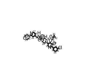 CC1(COc2c(N3CCN(S(=O)(=O)NCc4ccnc(N5CCOCC5)c4)CC3)cnn(-c3cccc(Cl)c3)c2=O)CC1